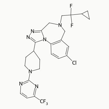 FC(F)(F)c1ccnc(N2CCC(c3nnc4n3-c3ccc(Cl)cc3CN(CC(F)(F)C3CC3)C4)CC2)n1